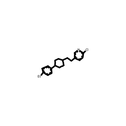 CCc1ccc(C2CCC(CCc3ccc(Cl)nc3)CC2)cc1